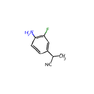 CC(C#N)c1ccc(N)c(F)c1